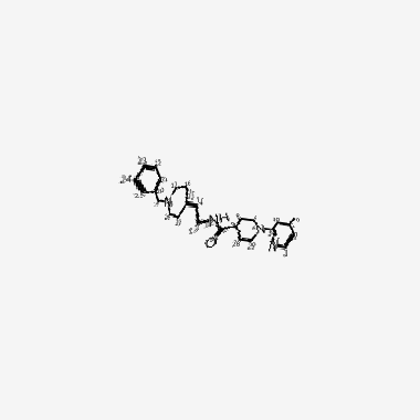 Cc1ccnc(N2CCC(C(=O)NCCC3CCN(Cc4ccccc4)CC3)CC2)c1